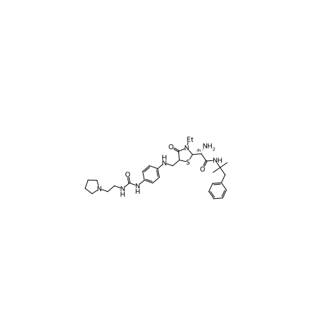 CCN1C(=O)C(CNc2ccc(NC(=O)NCCN3CCCC3)cc2)SC1[C@H](N)C(=O)NC(C)(C)Cc1ccccc1